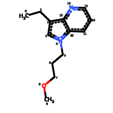 CCc1cn(CCCOC)c2cccnc12